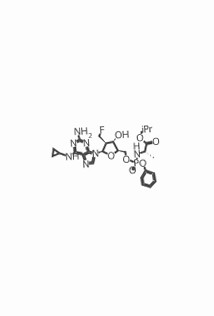 CC(C)OC(=O)[C@H](C)NP(=O)(OC[C@H]1O[C@@H](n2cnc3c(NC4CC4)nc(N)nc32)[C@@H](CF)[C@@H]1O)Oc1ccccc1